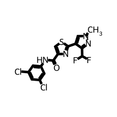 Cn1cc(-c2nc(C(=O)Nc3cc(Cl)cc(Cl)c3)cs2)c(C(F)F)n1